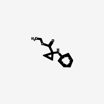 CCOC(=O)C1(Nc2ccccc2)CC1